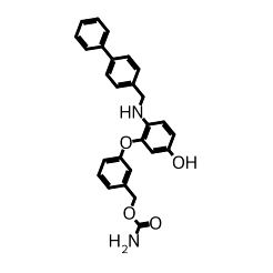 NC(=O)OCc1cccc(Oc2cc(O)ccc2NCc2ccc(-c3ccccc3)cc2)c1